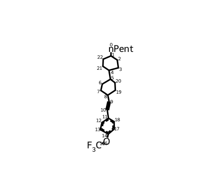 CCCCCC1CCC(C2CCC(C#Cc3ccc(OC(F)(F)F)cc3)CC2)CC1